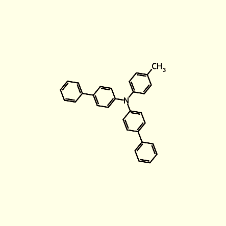 Cc1ccc(N(c2ccc(-c3ccccc3)cc2)c2ccc(-c3ccccc3)cc2)cc1